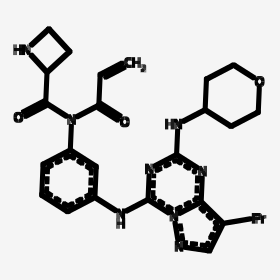 C=CC(=O)N(C(=O)C1CCN1)c1cccc(Nc2nc(NC3CCOCC3)nc3c(C(C)C)cnn23)c1